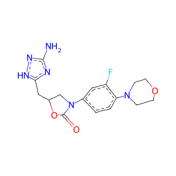 Nc1n[nH]c(CC2CN(c3ccc(N4CCOCC4)c(F)c3)C(=O)O2)n1